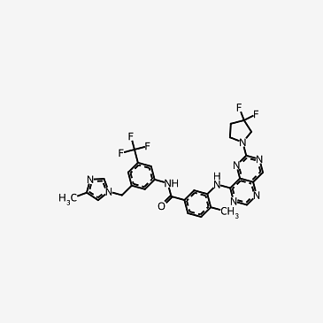 Cc1cn(Cc2cc(NC(=O)c3ccc(C)c(Nc4ncnc5cnc(N6CCC(F)(F)C6)nc45)c3)cc(C(F)(F)F)c2)cn1